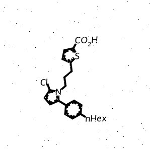 CCCCCCc1ccc(-c2ccc(Cl)n2CCCc2ccc(C(=O)O)s2)cc1